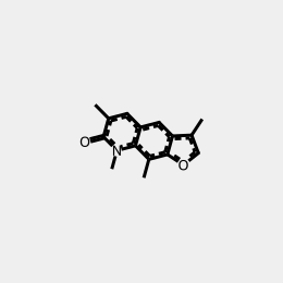 Cc1cc2cc3c(C)coc3c(C)c2n(C)c1=O